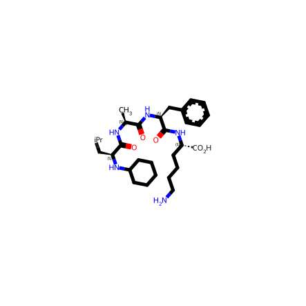 CC(C)C[C@H](NC1CCCCC1)C(=O)N[C@@H](C)C(=O)N[C@@H](Cc1ccccc1)C(=O)N[C@@H](CCCCN)C(=O)O